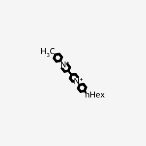 CCCCCCc1ccc(-[n+]2ccc(-c3cc[n+](-c4ccc(C)cc4)cc3)cc2)cc1